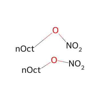 CCCCCCCCO[N+](=O)[O-].CCCCCCCCO[N+](=O)[O-]